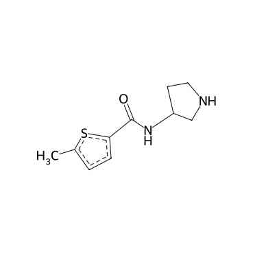 Cc1ccc(C(=O)NC2CCNC2)s1